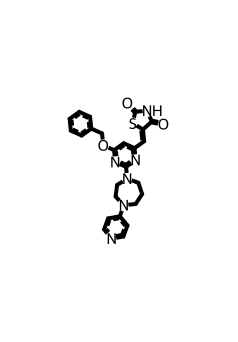 O=C1NC(=O)/C(=C/c2cc(OCc3ccccc3)nc(N3CCCN(c4ccncc4)CC3)n2)S1